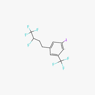 FC(CCc1cc(I)[c]c(C(F)(F)F)c1)C(F)(F)F